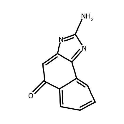 NC1=NC2=CC(=O)c3ccccc3C2=N1